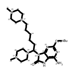 CCCCOc1nc(N)c2[nH]c(=O)n(C(CCCCCN3CCN(C)CC3)N3CCN(C)CC3)c2n1